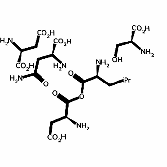 CC(C)C[C@H](N)C(=O)OC(=O)[C@@H](N)CC(=O)O.NC(=O)C[C@H](N)C(=O)O.N[C@@H](CC(=O)O)C(=O)O.N[C@@H](CO)C(=O)O